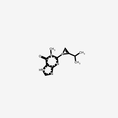 CC(C)C1=CN1c1nc2nc[nH]c2c(=O)n1C